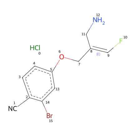 Cl.N#Cc1ccc(OC/C(=C/F)CN)cc1Br